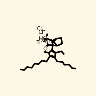 CCCCCCCCC1=C(CCCCCC)C(CC)=C(C2(C(=O)[NH][Ti+2])C3CCC(C3)C2[SiH](C)C)C1C.[Cl-].[Cl-]